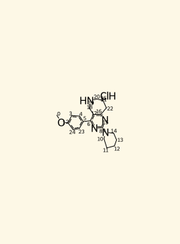 COc1ccc(-c2nc(N3CCCCC3)nc3c2CNCCC3)cc1.Cl